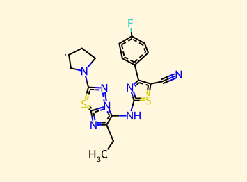 CCc1nc2sc(N3C[CH]CC3)nn2c1Nc1nc(-c2ccc(F)cc2)c(C#N)s1